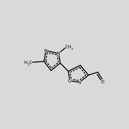 Cc1cc(-c2cc(C=O)no2)n(C)n1